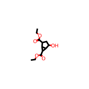 CCOC(=O)C1CC(O)C2C(C(=O)OCC)C12